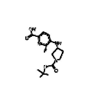 CC(C)(C)OC(=O)N1CC[C@H](Nc2ccc(C(=O)O)nc2F)C1